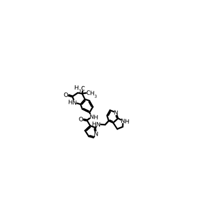 CC1(C)CC(=O)Nc2cc(NC(=O)c3cccnc3NCc3ccnc4c3CCN4)ccc21